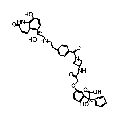 O=C(COc1cccc([C@](O)(C(=O)O)c2ccccc2)c1)NC1CN(C(=O)c2ccc(CCNC[C@H](O)c3ccc(O)c4[nH]c(=O)ccc34)cc2)C1